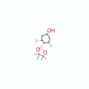 CC1(C)OB(c2c(F)cc(O)cc2F)OC1(C)C